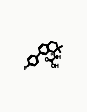 CC1(C)CCc2ccc(-c3ccc(F)cc3)cc2[C@H]1NC(=O)O